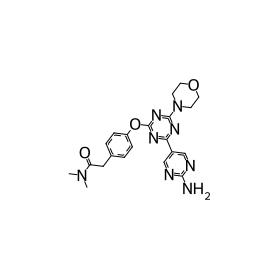 CN(C)C(=O)Cc1ccc(Oc2nc(-c3cnc(N)nc3)nc(N3CCOCC3)n2)cc1